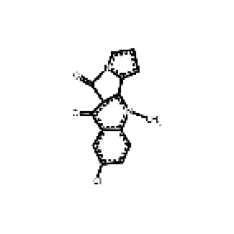 Cn1c2c(c(=O)c3cc(Cl)ccc31)C(=O)n1cccc1-2